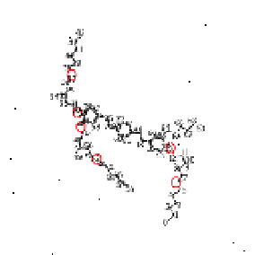 CCCCCCOCCC(C)CCOc1ccc(C=Cc2ccc(C=Cc3ccc(OCCC(C)CCOCCCCCC)c(OCCC(C)CCOCCCCCC)c3)cc2)cc1CCCCCC